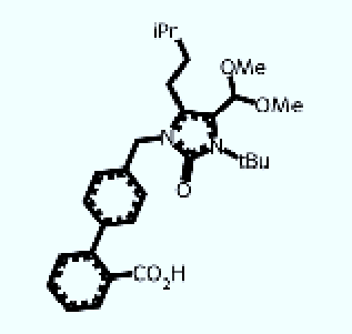 COC(OC)c1c(CCC(C)C)n(Cc2ccc(-c3ccccc3C(=O)O)cc2)c(=O)n1C(C)(C)C